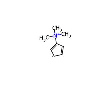 C[N+](C)(C)C1=C[CH]C=C1